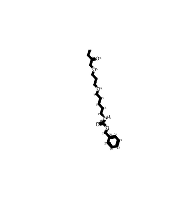 CCC(=O)COCCCOCCCCCNC(=O)OCc1ccccc1